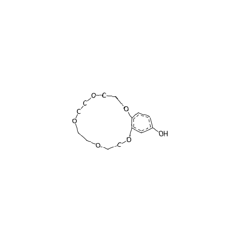 Oc1ccc2c(c1)OCCOCCOCCOCCO2